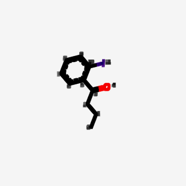 CCCC(=O)c1ccccc1I